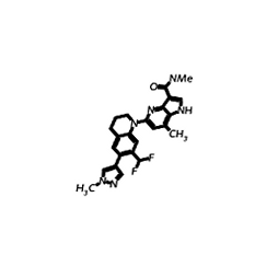 CNC(=O)c1c[nH]c2c(C)cc(N3CCCc4cc(-c5cnn(C)c5)c(C(F)F)cc43)nc12